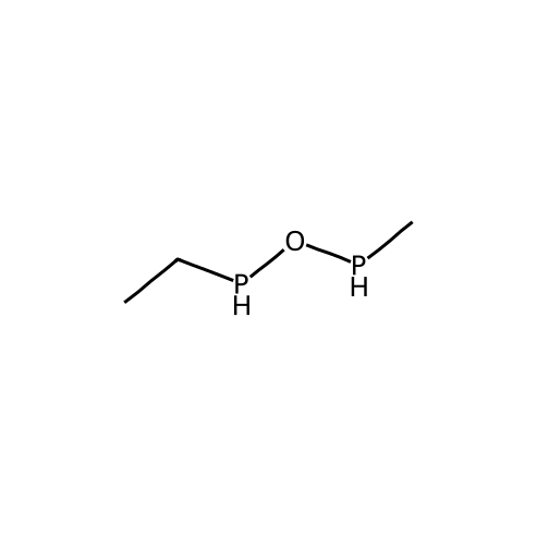 CCPOPC